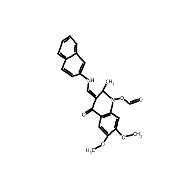 COc1cc2c(cc1OC)N(OC=O)C(C)C(=CNc1ccc3ccccc3c1)C2=O